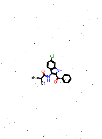 CCCCC(CC)C(=O)Nc1c(C(=O)c2ccccc2)[nH]c2cc(Cl)ccc12